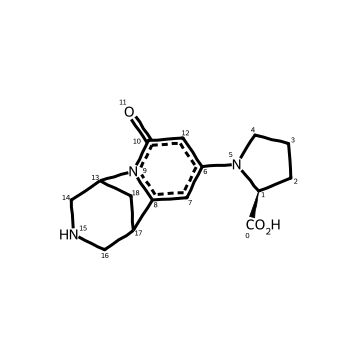 O=C(O)[C@@H]1CCCN1c1cc2n(c(=O)c1)C1CNCC2C1